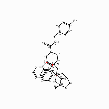 Cc1nc2ccccc2n1C1CC2CC[C@H](C1)N2CCC1(c2ccccc2)CCN(C(=S)NCc2ccc(F)cc2)CC1